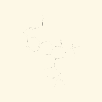 CC(C)(C)OC(=O)N(Cc1cccc2ncc(CO)n12)C(F)C(F)C(F)NS(C)(=O)=O